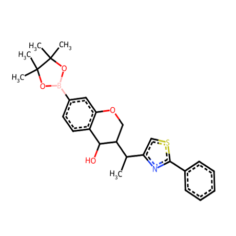 CC(c1csc(-c2ccccc2)n1)C1COc2cc(B3OC(C)(C)C(C)(C)O3)ccc2C1O